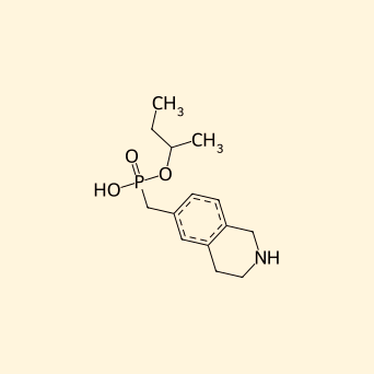 CCC(C)OP(=O)(O)Cc1ccc2c(c1)CCNC2